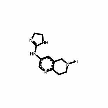 CCN1CCc2ncc(NC3=NCCN3)cc2C1